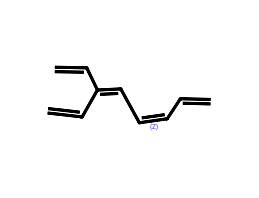 C=C/C=C\C=C(C=C)C=C